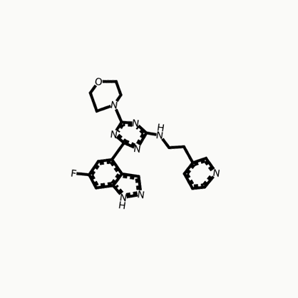 Fc1cc(-c2nc(NCCc3cccnc3)nc(N3CCOCC3)n2)c2cn[nH]c2c1